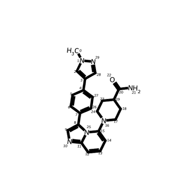 Cn1cc(-c2ccc(-c3cnc4cccc(N5CCC(C(N)=O)CC5)n34)cc2)cn1